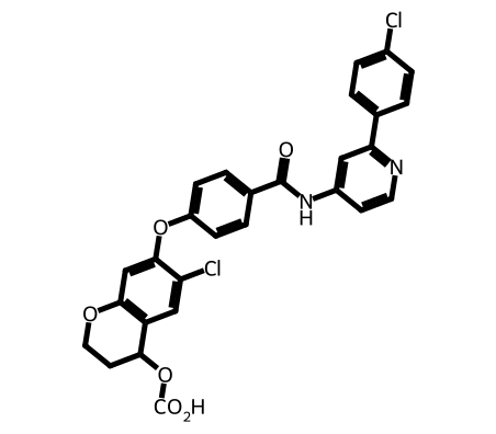 O=C(O)OC1CCOc2cc(Oc3ccc(C(=O)Nc4ccnc(-c5ccc(Cl)cc5)c4)cc3)c(Cl)cc21